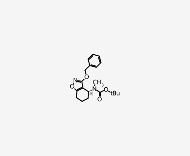 CN(C(=O)OC(C)(C)C)[C@@H]1CCCc2onc(OCc3ccccc3)c21